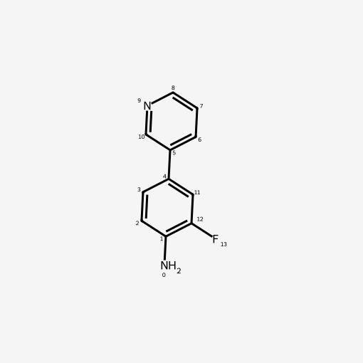 Nc1ccc(-c2cccnc2)cc1F